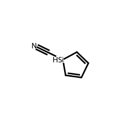 N#C[SiH]1C=CC=C1